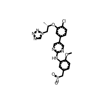 COc1ccc(C[SH](=O)=O)cc1Nc1ncc(-c2ccc(Cl)c(O[C@@H](C)Cn3cnnn3)c2)cn1